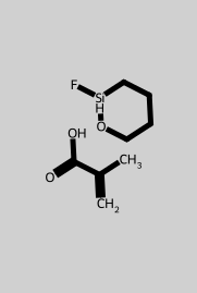 C=C(C)C(=O)O.F[SiH]1CCCCO1